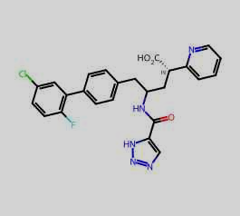 O=C(NC(Cc1ccc(-c2cc(Cl)ccc2F)cc1)C[C@H](C(=O)O)c1ccccn1)c1cnn[nH]1